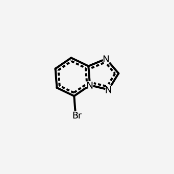 Brc1cccc2ncnn12